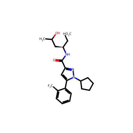 CC(O)C[C@@H](CC(=O)O)NC(=O)c1cc(-c2ccccc2C(F)(F)F)n(C2CCCC2)n1